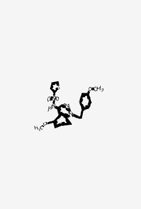 COc1ccc(Cn2nc(NS(=O)(=O)c3cccs3)c3c(OC)cccc32)cc1